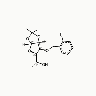 C[C@@H](O)[C@H]1O[C@@H]2OC(C)(C)O[C@@H]2[C@H]1OCc1ccccc1F